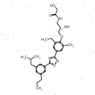 CCCc1cc(CN(C)C)cc(-c2nc(-c3cc(C)c(OC[C@@H](O)CNC(=O)CO)c(CC)c3)no2)c1